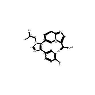 O=C(O)c1cnc2ccc(-c3c(-c4ccc(F)cc4)ncn3CC(F)F)cn12